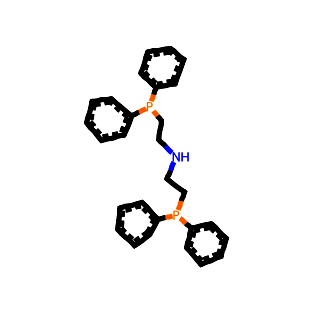 c1ccc(P(CCNCCP(c2ccccc2)c2ccccc2)c2ccccc2)cc1